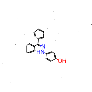 Oc1ccc(NN=C(c2ccccc2)c2ccccc2)cc1